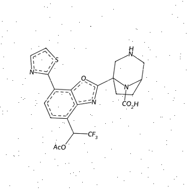 CC(=O)OC(c1ccc(-c2nccs2)c2oc(C34CCC(CNC3)N4C(=O)O)nc12)C(F)(F)F